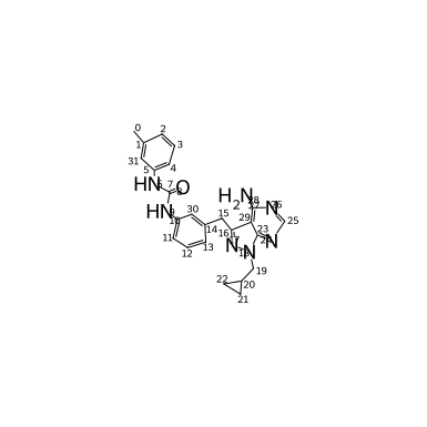 Cc1cccc(NC(=O)Nc2cccc(Cc3nn(CC4CC4)c4ncnc(N)c34)c2)c1